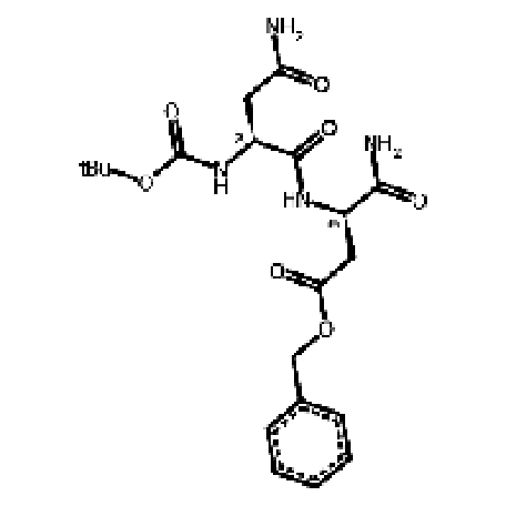 CC(C)(C)OC(=O)N[C@@H](CC(N)=O)C(=O)N[C@H](CC(=O)OCc1ccccc1)C(N)=O